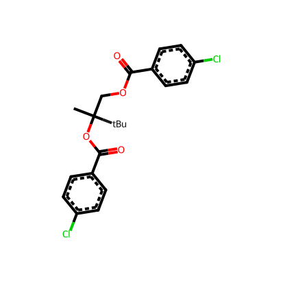 CC(C)(C)C(C)(COC(=O)c1ccc(Cl)cc1)OC(=O)c1ccc(Cl)cc1